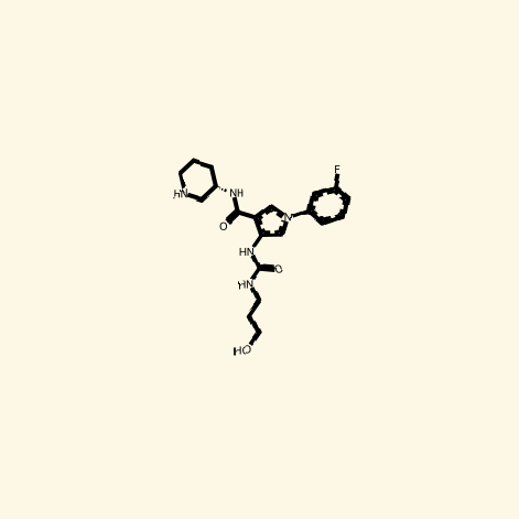 O=C(NCCCO)Nc1cn(-c2cccc(F)c2)cc1C(=O)N[C@H]1CCCNC1